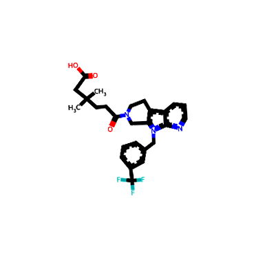 CC(C)(CCC(=O)N1CCc2c(n(Cc3cccc(C(F)(F)F)c3)c3ncccc23)C1)CC(=O)O